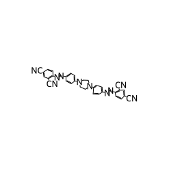 N#Cc1ccc(/N=N/c2ccc(N3CCN(c4ccc(/N=N/c5ccc(C#N)cc5C#N)cc4)CC3)cc2)c(C#N)c1